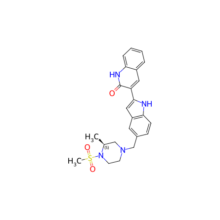 C[C@H]1CN(Cc2ccc3[nH]c(-c4cc5ccccc5[nH]c4=O)cc3c2)CCN1S(C)(=O)=O